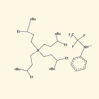 CCCCC(CC)CC[B-](CCC(CC)CCCC)(CCC(CC)CCCC)CCC(CC)CCCC.C[NH+](c1ccccc1)C(F)(F)C(F)(F)F